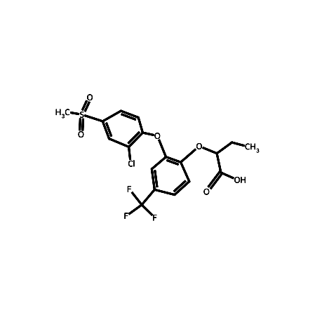 CCC(Oc1ccc(C(F)(F)F)cc1Oc1ccc(S(C)(=O)=O)cc1Cl)C(=O)O